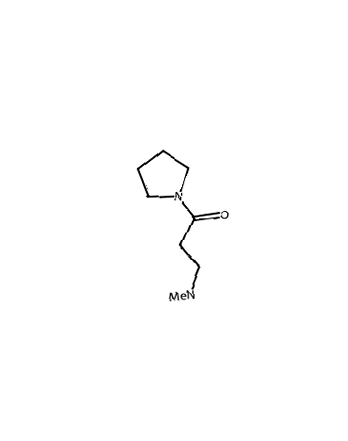 CNCCC(=O)N1CCCC1